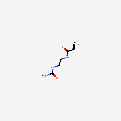 C=CC(=O)NCCNC(N)=O